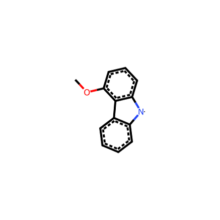 COc1cccc2c1-c1ccccc1[N]2